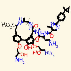 C=C1NC(C(=O)O)Cc2ccc(OC[C@H](O)CN)c(c2)-c2cc(cc(OC[C@H](O)CN)c2O)C(N(C)C(=O)[C@H](CCN)NC(=O)c2cnc(-c3ccc(C4(C)CC4)cc3)nc2C)C(=O)N[C@H]1C